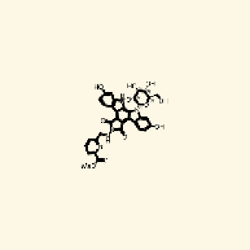 COC(=O)c1cccc(CNN2C(=O)c3c(c4c5ccc(O)cc5n([C@@H]5O[C@H](CO)[C@@H](O)[C@H](O)[C@H]5O)c4c4[nH]c5cc(O)ccc5c34)C2=O)n1